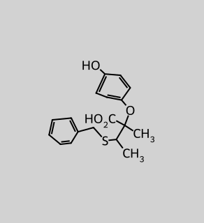 CC(SCc1ccccc1)C(C)(Oc1ccc(O)cc1)C(=O)O